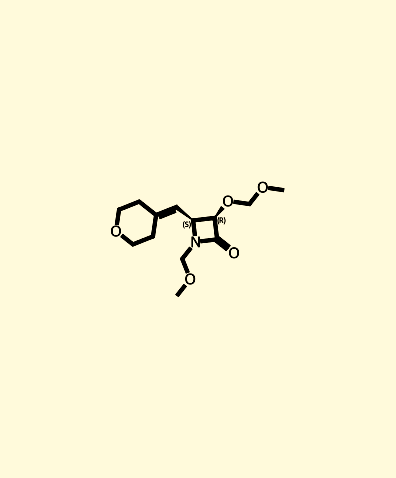 COCO[C@H]1C(=O)N(COC)[C@H]1C=C1CCOCC1